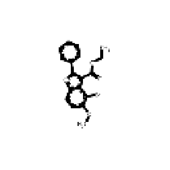 CCOC(=O)c1c(-c2ccccc2)oc2ccc(OC)c(Br)c12